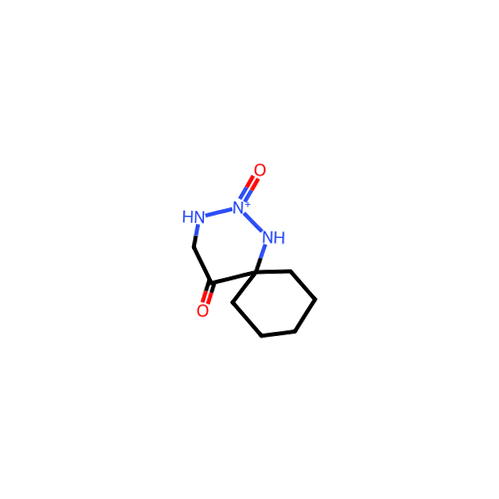 O=C1CN[N+](=O)NC12CCCCC2